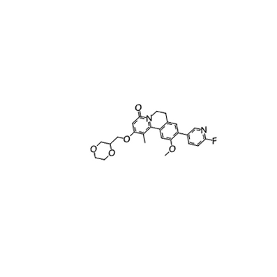 COc1cc2c(cc1-c1ccc(F)nc1)CCn1c-2c(C)c(OCC2COCCO2)cc1=O